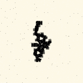 CC(C)c1ccc([C@](O)(c2cncc(CC#CO)c2)C2(C)CN(C)C2)cc1